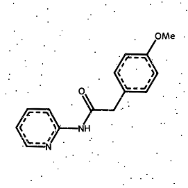 COc1ccc(CC(=O)Nc2ccccn2)cc1